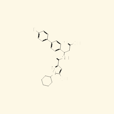 O=C(O)CC(NC(=O)c1cc(O)n(C2CCCCC2)n1)c1ccc(-c2ccc(F)cc2)cc1